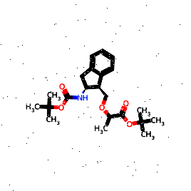 CC(OC[C@@H]1c2ccccc2C[C@H]1NC(=O)OC(C)(C)C)C(=O)OC(C)(C)C